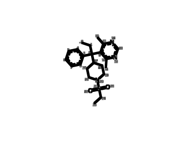 [CH2]CC(c1ccccc1)(c1c(C)ncnc1C)C1CCN(S(=O)(=O)CC)CC1